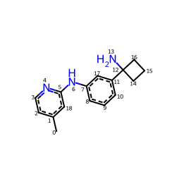 Cc1ccnc(Nc2cccc(C3(N)CCC3)c2)c1